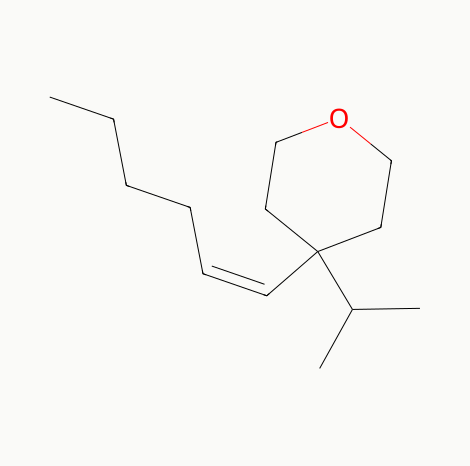 CCCC/C=C\C1(C(C)C)CCOCC1